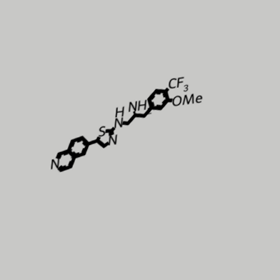 COc1cc(C[C@H](N)CNC2=NCC(c3ccc4cnccc4c3)S2)ccc1C(F)(F)F